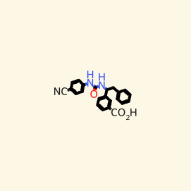 N#Cc1ccc(NC(=O)NC(Cc2ccccc2)c2cccc(C(=O)O)c2)cc1